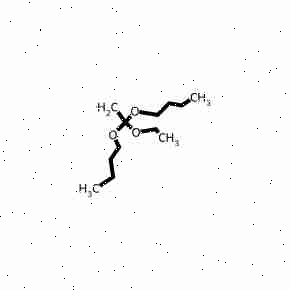 [CH2]C(OCC)(OCCCC)OCCCC